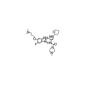 CN(C)CCCOc1cc2[nH]c(-c3nn(C4CCCCO4)cc3NC(=O)N3CCN(C)CC3)nc2cc1F